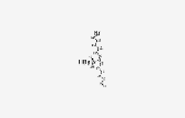 Br.CCCCCCCC(CCCCCCBr)N(C)C